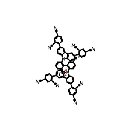 N#Cc1ccc(-c2ccc3c(c2)c2cc(-c4ccc(C#N)cc4C#N)ccc2n3-c2ccc(C#N)cc2-c2c(-n3c4ccc(-c5ccc(C#N)cc5C#N)cc4c4cc(-c5ccc(C#N)cc5C#N)ccc43)cccc2C(F)(F)F)c(C#N)c1